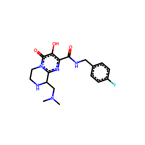 CN(C)CC1NCCn2c1nc(C(=O)NCc1ccc(F)cc1)c(O)c2=O